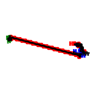 CCCN(CCCNC(=O)OCCOCCOCCOCCOCCOCCOCCOCCOCCOCCOCCOCCOCCOCCOCCOCCOCCOCCOCCOCCOCCOCCOCCOCCOCCC(=O)Oc1c(F)c(F)cc(F)c1F)C(=O)C1=Cc2ccc(-c3cccc(S(=O)(=O)N4CC(CO)C4)c3)cc2N=C(N)C1